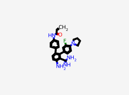 C=CC(=O)Nc1ccc(-c2ccc(N)c(C(=N)N)c2-c2ccc(N3CCCC3)c(F)c2)cc1